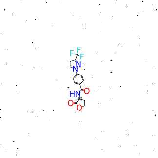 O=C(N[C@H]1CCOC1=O)c1ccc(-n2ccc(C(F)(F)F)n2)cc1